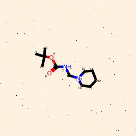 CC(C)(C)OC(=O)NCN1CCCCC1